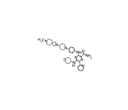 CN1CCC2(CC1)CN(C1CCN(c3ccc(Nc4nc(NC5CCOCC5)c(-c5ccccn5)nc4C(N)=O)cc3)CC1)C2